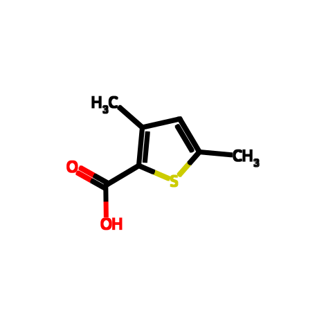 Cc1cc(C)c(C(=O)O)s1